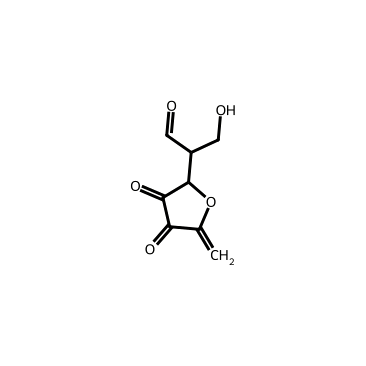 C=C1OC(C(C=O)CO)C(=O)C1=O